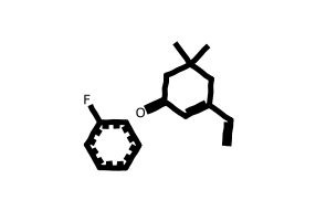 C=CC1=CC(=O)CC(C)(C)C1.Fc1ccccc1